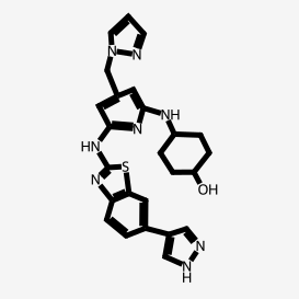 OC1CCC(Nc2cc(Cn3cccn3)cc(Nc3nc4ccc(-c5cn[nH]c5)cc4s3)n2)CC1